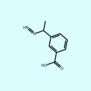 CC(N=N)c1cccc(C(=O)O)c1